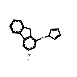 C1=C[CH]([Zr+2][c]2cccc3c2Cc2ccccc2-3)C=C1.[Cl-].[Cl-]